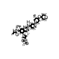 C=CC(=O)Nc1cc(N2C[C@H](CS(C)(=O)=O)[C@H]2C)c2cnc(Nc3ccnc(N4CC[C@@H](OC5CCOCC5)[C@@H](F)C4)c3)nc2c1C(C)C